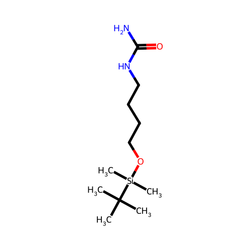 CC(C)(C)[Si](C)(C)OCCCCNC(N)=O